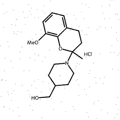 COc1cccc2c1OC(C)(N1CCC(CO)CC1)CC2.Cl